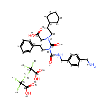 NCc1ccc(CNC(=O)N(CCc2ccccc2)C(=O)N(CCC2CCCCC2)CC(=O)O)cc1.O=C(O)C(F)(F)F.O=C(O)C(F)(F)F